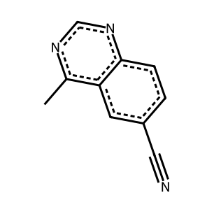 Cc1ncnc2ccc(C#N)cc12